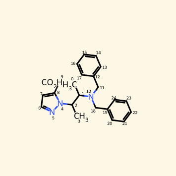 CC(C(C)n1nccc1C(=O)O)N(Cc1ccccc1)Cc1ccccc1